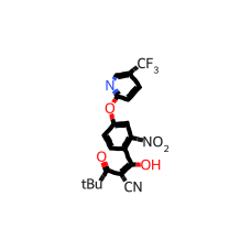 CC(C)(C)C(=O)C(C#N)=C(O)c1ccc(Oc2ccc(C(F)(F)F)cn2)cc1[N+](=O)[O-]